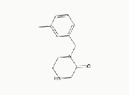 Cc1cccc(CN2CCNCC2=O)c1